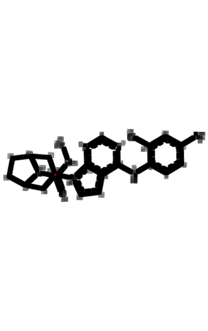 [C-]#[N+]c1ccc(Nc2ncnc3c2ccn3C2CC3CCC(C2)N3C(=O)OC(C)C)c(Cl)c1